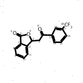 O=C(CC1OC(=O)c2ccccc21)c1cccc(C(F)(F)F)c1